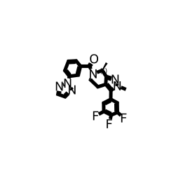 C[C@H]1c2nn(C)c(-c3cc(F)c(F)c(F)c3)c2CCN1C(=O)c1cccc(-n2nccn2)c1